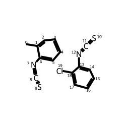 Cc1ccccc1N=C=S.S=C=Nc1ccccc1Cl